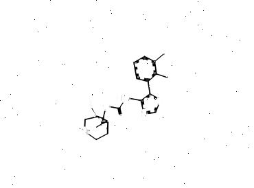 O=C(Nc1ncsc1-c1cccc(F)c1F)O[C@H]1CN2CCC1CC2